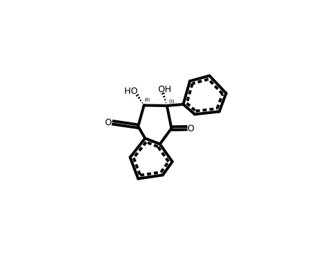 O=C1c2ccccc2C(=O)[C@](O)(c2ccccc2)[C@H]1O